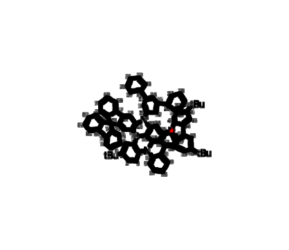 CC(C)(C)c1ccc2c(c1)B1c3cc4c(cc3N(c3cc(-c5ccccc5)cc(-c5ccccc5)c3)c3cc(-n5c6ccc(C(C)(C)C)cc6c6cc(C(C)(C)C)ccc65)cc(c31)N2c1ccccc1-c1ccccc1)-c1ccccc1C41c2ccccc2-c2ccccc21